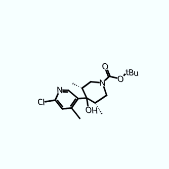 Cc1cc(Cl)ncc1C1(O)[C@H](C)CN(C(=O)OC(C)(C)C)C[C@@H]1C